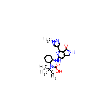 Cn1cc(-c2nc(NC3CCCCC3N(C(=O)O)C(C)(C)C)cc3c2C(=O)NC3)cn1